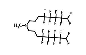 CN(CCCC(F)(F)C(F)(F)C(F)(F)C(F)(F)C(F)F)CCCC(F)(F)C(F)(F)C(F)(F)C(F)(F)C(F)F